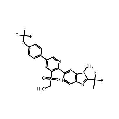 CCS(=O)(=O)c1cc(-c2ccc(OC(F)(F)F)cc2)cnc1-c1ncc2nc(C(F)(F)F)n(C)c2n1